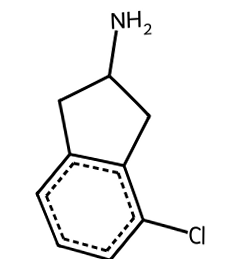 NC1Cc2cccc(Cl)c2C1